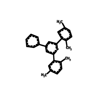 Cc1ccc(C)c(-c2cc(-c3ccccc3)cc(-c3cc(C)ccc3C)p2)c1